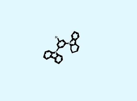 Brc1cc(-n2c3c(c4ccccc42)C=CCC3)cc(-n2c3ccccc3c3ccccc32)c1